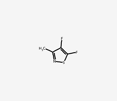 Cc1nsc(F)c1F